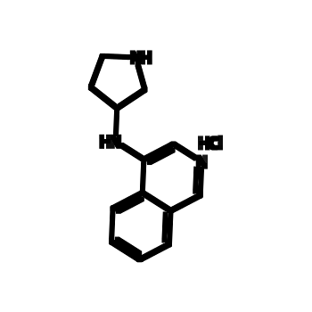 Cl.c1ccc2c(NC3CCNC3)cncc2c1